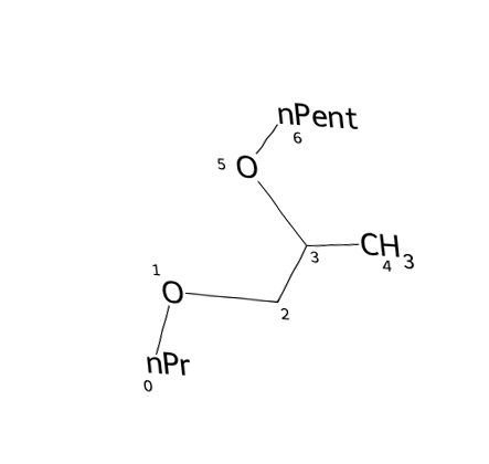 [CH2]CCOCC(C)OCCCCC